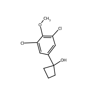 COc1c(Cl)cc(C2(O)CCC2)cc1Cl